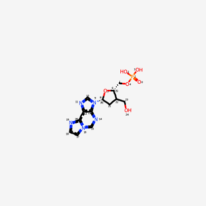 O=P(O)(O)OC[C@H]1O[C@@H](n2cnc3c2ncn2ccnc32)CC1CO